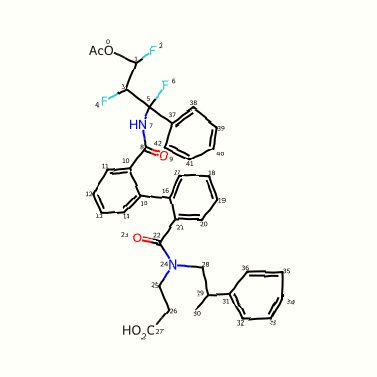 CC(=O)OC(F)C(F)C(F)(NC(=O)c1ccccc1-c1ccccc1C(=O)N(CCC(=O)O)CC(C)c1ccccc1)c1ccccc1